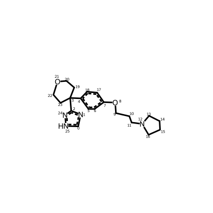 c1nc(C2(c3ccc(OCCCN4CCCC4)cc3)CCOCC2)n[nH]1